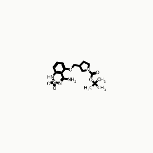 CC(C)(C)OC(=O)N1CCC(COc2cccc3c2C(N)=NS(=O)(=O)N3)C1